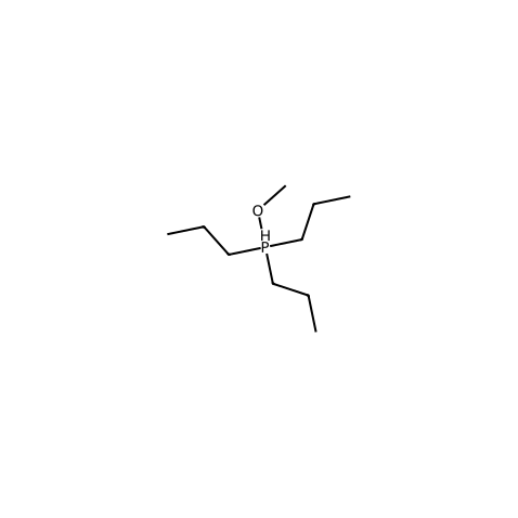 CCC[PH](CCC)(CCC)OC